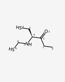 CCC(=O)[C@H](CS)NCS